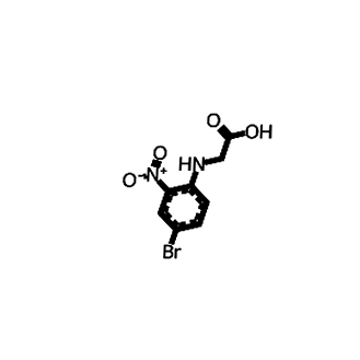 O=C(O)CNc1ccc(Br)cc1[N+](=O)[O-]